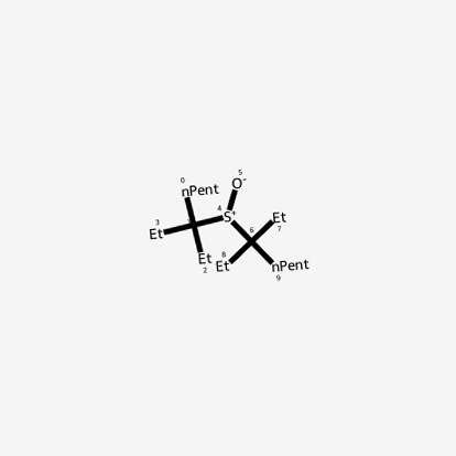 CCCCCC(CC)(CC)[S+]([O-])C(CC)(CC)CCCCC